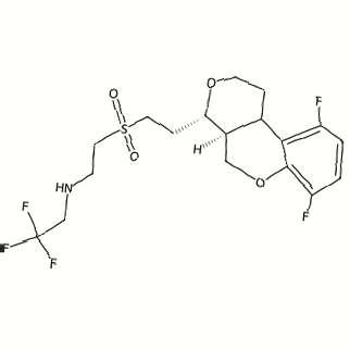 O=S(=O)(CCNCC(F)(F)F)CC[C@@H]1OCCC2c3c(F)ccc(F)c3OC[C@H]21